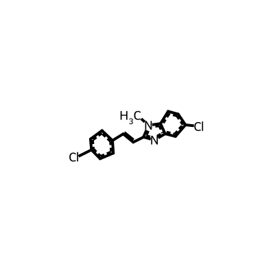 Cn1c(C=Cc2ccc(Cl)cc2)nc2cc(Cl)ccc21